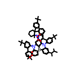 CC(C)C(C)c1ccc2c(c1)N(c1ccc(C(C)(C)C)cc1-c1ccccc1)c1cc(N3c4ccccc4C4(c5ccc(C(C)(C)C)cc5)CCCCC34C)cc3c1B2c1ccc(C(C)(C)C)cc1N3c1ccc(C(C)(C)C)cc1-c1ccccc1